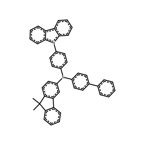 CC1(C)c2ccccc2-c2cc(N(c3ccc(-c4ccccc4)cc3)c3ccc(-n4c5ccccc5c5ccccc54)cc3)ccc21